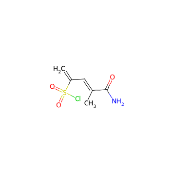 C=C(/C=C(\C)C(N)=O)S(=O)(=O)Cl